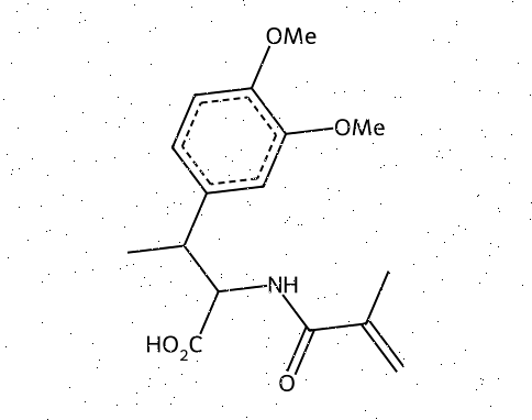 C=C(C)C(=O)NC(C(=O)O)C(C)c1ccc(OC)c(OC)c1